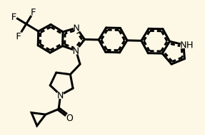 O=C(C1CC1)N1CCC(Cn2c(-c3ccc(-c4ccc5[nH]ccc5c4)cc3)nc3cc(C(F)(F)F)ccc32)C1